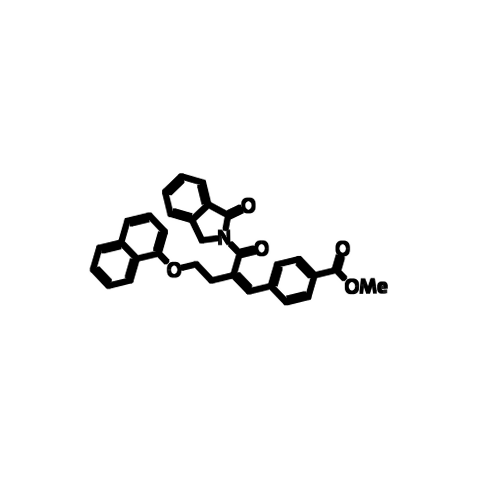 COC(=O)c1ccc(C=C(CCOc2cccc3ccccc23)C(=O)N2Cc3ccccc3C2=O)cc1